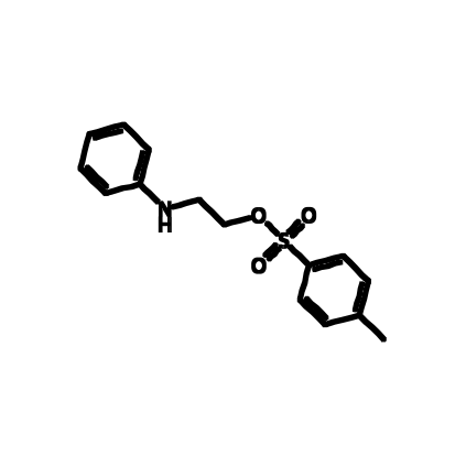 Cc1ccc(S(=O)(=O)OCCNc2ccccc2)cc1